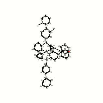 Cc1ccccc1-c1ccc(N2c3ccccc3C3(c4ccccc4N(c4ccc(-c5ccccc5)cc4)c4ccc(-c5ccccc5)cc43)c3cc(-c4ccccc4)ccc32)cc1C